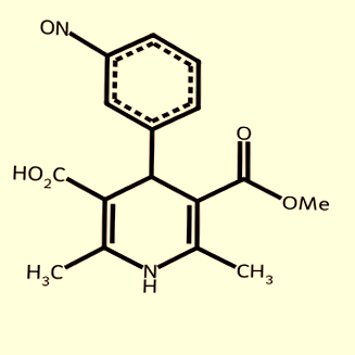 COC(=O)C1=C(C)NC(C)=C(C(=O)O)C1c1cccc(N=O)c1